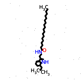 CCCCCCCCCCCCCCCCCCCC(=O)NCCC1=CNC2C1=CCCC2CC(C)C